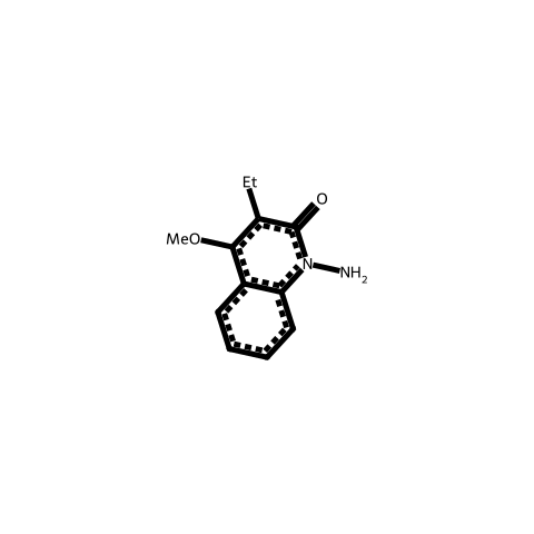 CCc1c(OC)c2ccccc2n(N)c1=O